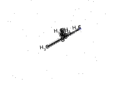 C/C=C\CCCCCCCCCCCCCCC(=O)O[C@H](COC(=O)CCCCCCCCCCCCCCCCC)COP(=O)(O)OCC[N+](C)(C)C